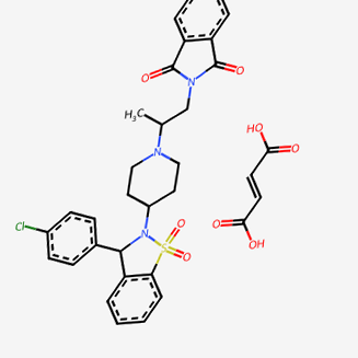 CC(CN1C(=O)c2ccccc2C1=O)N1CCC(N2C(c3ccc(Cl)cc3)c3ccccc3S2(=O)=O)CC1.O=C(O)C=CC(=O)O